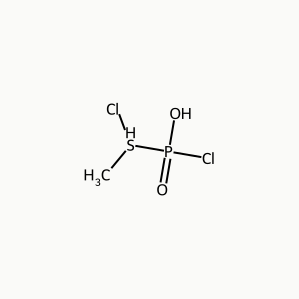 C[SH](Cl)P(=O)(O)Cl